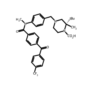 CN(C(=O)c1ccc(C(=O)c2ccc(C(F)(F)F)cc2)cc1)c1ccc(CN2CCN(C(=O)O)[C@@](C)(C(C)(C)C)C2)cc1